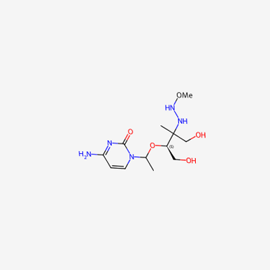 CONNC(C)(CO)[C@@H](CO)OC(C)n1ccc(N)nc1=O